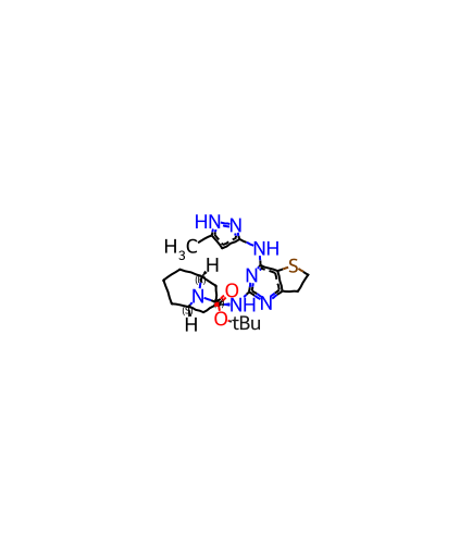 Cc1cc(Nc2nc(N[C@@H]3C[C@H]4CCC[C@@H](C3)N4C(=O)OC(C)(C)C)nc3c2SCC3)n[nH]1